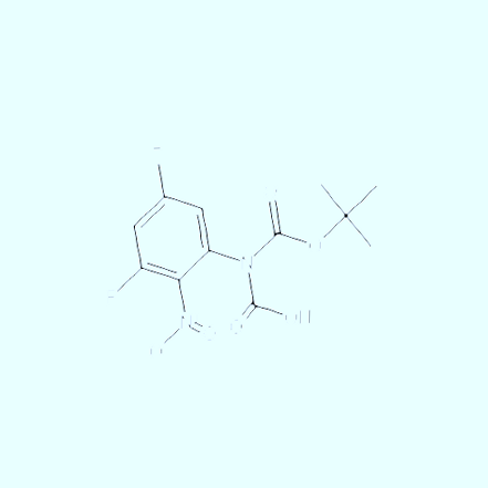 CC(C)(C)OC(=O)N(C(=O)O)c1cc(F)cc(F)c1[N+](=O)[O-]